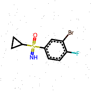 N=S(=O)(c1ccc(F)c(Br)c1)C1CC1